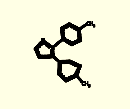 Cc1ccc(-c2ccnn2-c2ccc(C)cc2)cc1